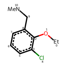 CCOc1c(Cl)cccc1CNC